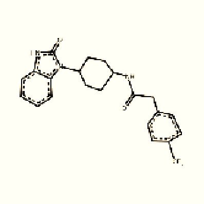 O=C(Cc1ccc(C(F)(F)F)cc1)NC1CCC(n2c(=O)[nH]c3ccccc32)CC1